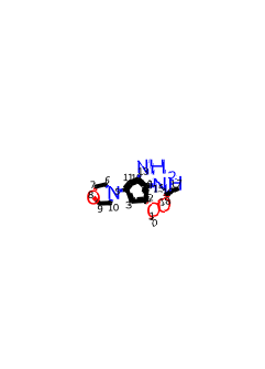 COc1cc(N2CCOCC2)cc(N)c1NC(C)=O